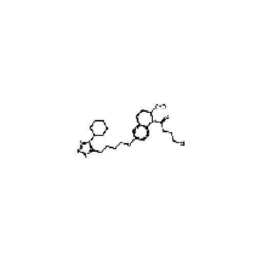 O=CC1CCc2cc(OCCCCc3nnnn3C3CCCCC3)ccc2N1C(=O)CCCCl